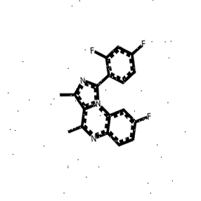 Cc1nc(-c2ccc(F)cc2F)n2c1c(C)nc1ccc(F)cc12